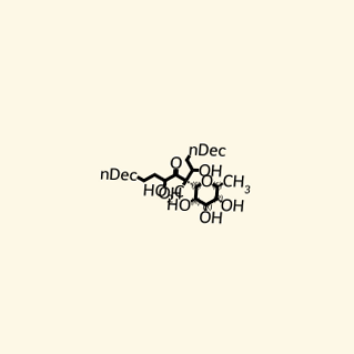 CCCCCCCCCCCCC(O)C(=O)C(C(=O)O)(C(O)CCCCCCCCCCC)[C@@H]1O[C@@H](C)[C@H](O)[C@@H](O)[C@H]1O